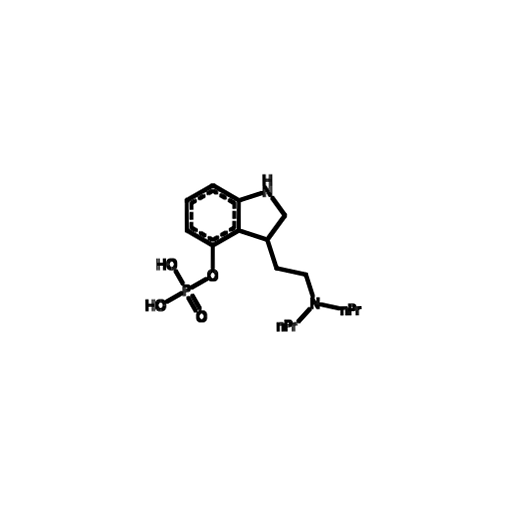 CCCN(CCC)CCC1CNc2cccc(OP(=O)(O)O)c21